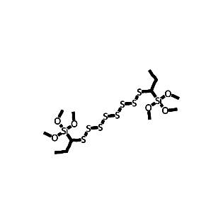 CCC(SSSSSSSSC(CC)[Si](OC)(OC)OC)[Si](OC)(OC)OC